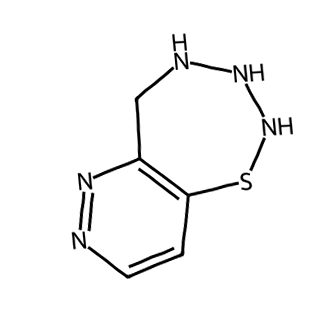 c1cc2c(nn1)CNNNS2